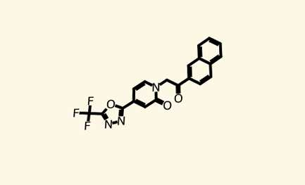 O=C(Cn1ccc(-c2nnc(C(F)(F)F)o2)cc1=O)c1ccc2ccccc2c1